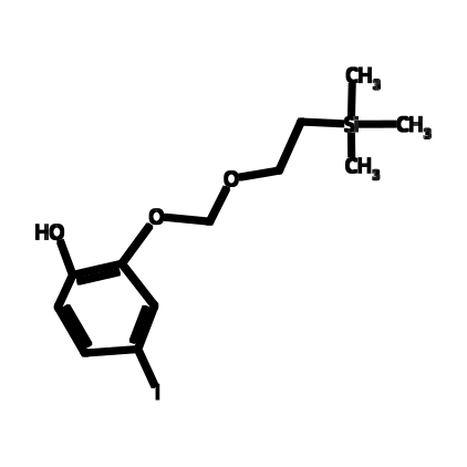 C[Si](C)(C)CCOCOc1cc(I)ccc1O